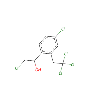 OC(CCl)c1ccc(Cl)cc1CC(Cl)(Cl)Cl